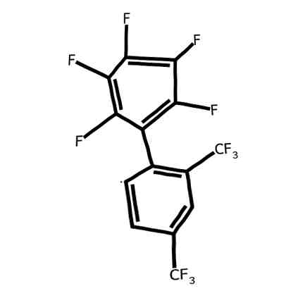 Fc1c(F)c(F)c(-c2[c]cc(C(F)(F)F)cc2C(F)(F)F)c(F)c1F